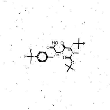 CN(C(=O)OC(C)(C)C)[C@@H](CC(C)(C)F)C(=O)O[C@H](Cc1ccc(C(F)(F)F)cc1)C(=O)O